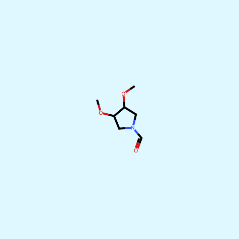 COC1CN(C=O)CC1OC